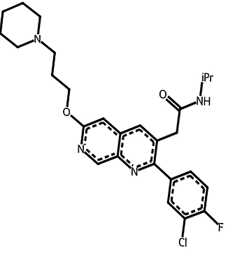 CC(C)NC(=O)Cc1cc2cc(OCCCN3CCCCC3)ncc2nc1-c1ccc(F)c(Cl)c1